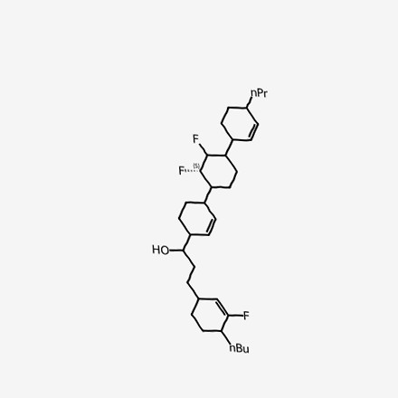 CCCCC1CCC(CCC(O)C2C=CC(C3CCC(C4C=CC(CCC)CC4)C(F)[C@H]3F)CC2)C=C1F